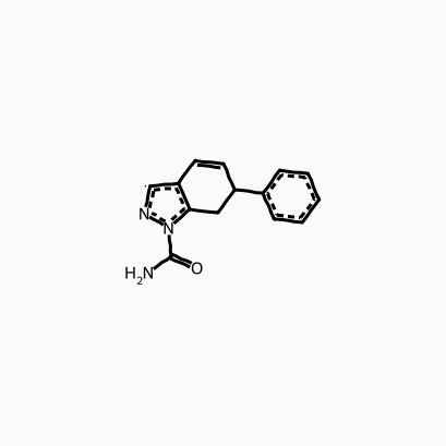 NC(=O)n1n[c]c2c1CC(c1ccccc1)C=C2